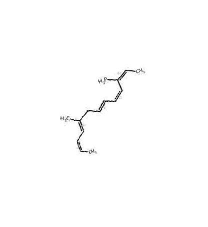 C/C=C\C=C(/C)C/C=C/C=C\C(P)=C/C